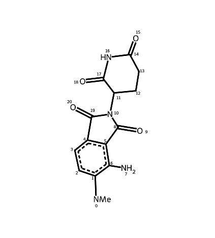 CNc1ccc2c(c1N)C(=O)N(C1CCC(=O)NC1=O)C2=O